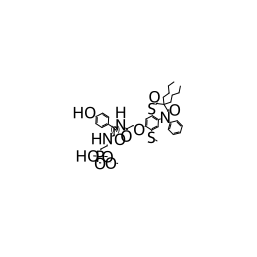 CCCCC1(CCCC)C(=O)Sc2cc(OCC(=O)N[C@@H](C(=O)NCCP(=O)(O)OOC)c3ccc(O)cc3)c(SC)cc2N(c2ccccc2)C1=O